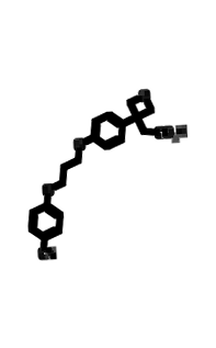 N#Cc1ccc(OCCCOc2ccc(C3(CC(=O)O)COC3)cc2)cc1